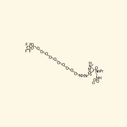 CCCN(CCCNC(=O)OC1CCC1)C(=O)C1=Cc2sc(CN3CC4(CN(CCOCCOCCOCCOCCOCCOCCOCCOCCOCCOCCC(=O)Oc5c(F)c(F)cc(F)c5F)C4)C3)cc2N=C(N)C1